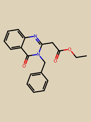 CCOC(=O)Cc1nc2ccccc2c(=O)n1Cc1ccccc1